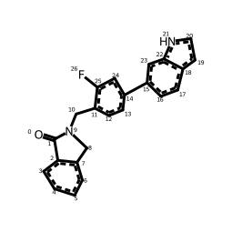 O=C1c2ccccc2CN1Cc1ccc(-c2ccc3cc[nH]c3c2)cc1F